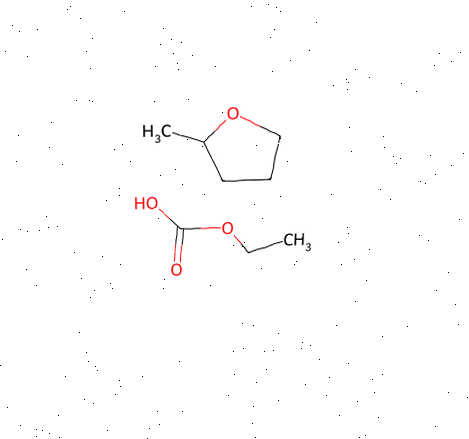 CC1CCCO1.CCOC(=O)O